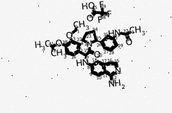 CCOc1cc([C@H](Nc2ccc3c(N)nccc3c2)C(=O)N2CCC[C@H]2c2cccc(NC(C)=O)c2)ccc1OC(C)C.O=C(O)C(F)(F)F